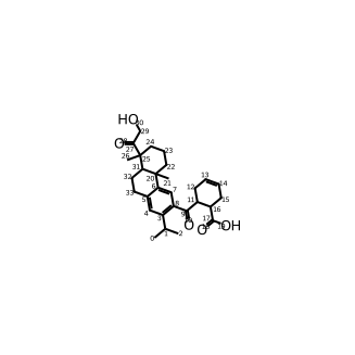 CC(C)c1cc2c(cc1C(=O)C1CC=CCC1C(=O)O)C1(C)CCCC(C)(C(=O)CO)C1CC2